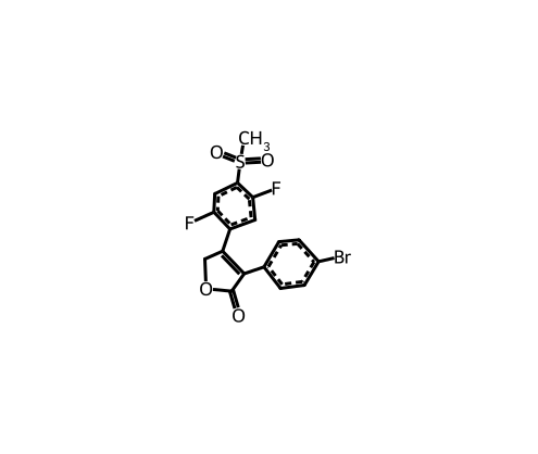 CS(=O)(=O)c1cc(F)c(C2=C(c3ccc(Br)cc3)C(=O)OC2)cc1F